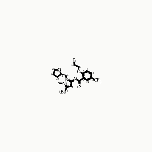 Cn1c(C(C)(C)C)c/c(=N\C(=S)c2cc(C(F)(F)F)ccc2OCCF)n1C[C@H]1CCCO1